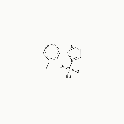 Cc1ccccc1.NS(=O)(=O)n1ccnc1